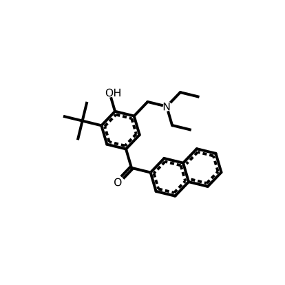 CCN(CC)Cc1cc(C(=O)c2ccc3ccccc3c2)cc(C(C)(C)C)c1O